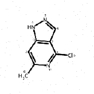 Cc1cc2[nH]ncc2c(Cl)n1